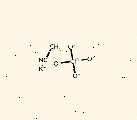 CC#N.[K+].[O-][Cl+3]([O-])([O-])[O-]